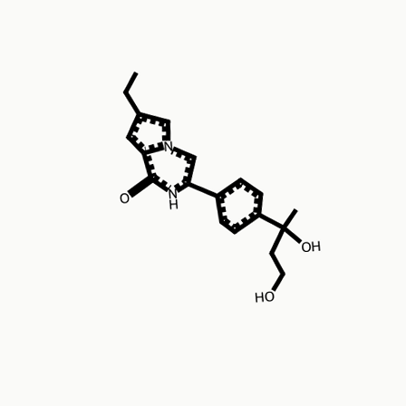 CCc1cc2c(=O)[nH]c(-c3ccc(C(C)(O)CCO)cc3)cn2c1